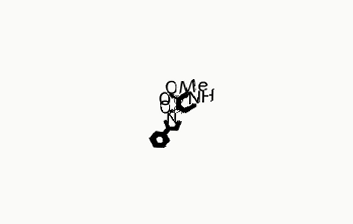 COC(=O)[C@H]1CNCC[C@@H]1C(=O)N1CCC(c2ccccc2)C1